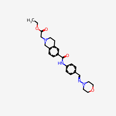 CCOC(=O)CN1CCc2cc(C(=O)Nc3ccc(C=NN4CCOCC4)cc3)ccc2C1